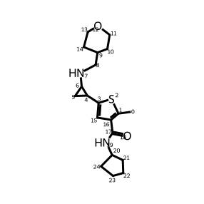 Cc1sc(C2CC2NCC2CCOCC2)cc1C(=O)NC1CCCC1